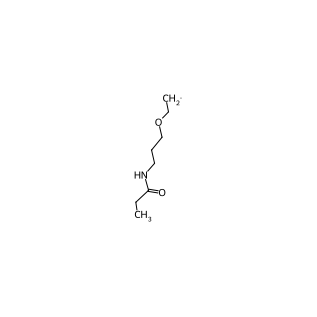 [CH2]COCCCNC(=O)CC